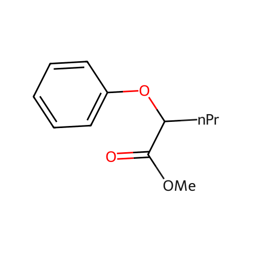 CCCC(Oc1ccccc1)C(=O)OC